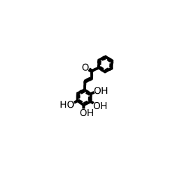 O=C(C=Cc1cc(O)c(O)c(O)c1O)c1ccccc1